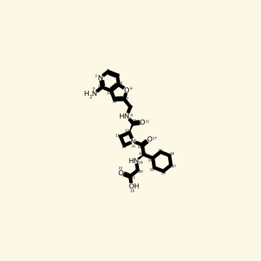 Nc1nccc2oc(CNC(=O)[C@@H]3CCN3C(=O)[C@H](NCC(=O)O)C3CCCCC3)cc12